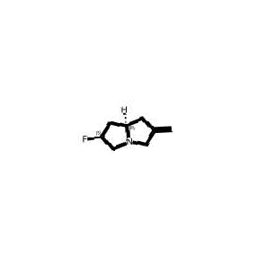 C=C1C[C@@H]2C[C@H](F)CN2C1